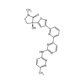 Cc1ccc(Nc2nccc(-c3cccc(-c4cc([C@]5(O)CCN(C)C5=O)on4)n3)n2)nn1